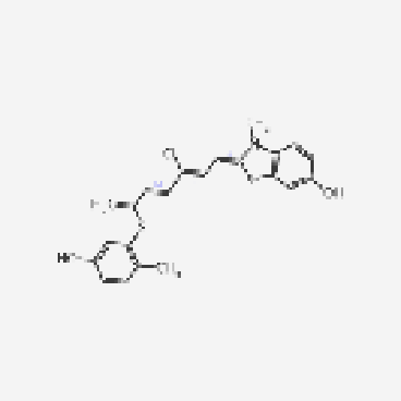 C=C(/C=C/C(Cl)=C/C=C1\Sc2cc(O)ccc2N1C)Sc1cc(O)ccc1C